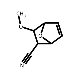 COC1C2C=CC(O2)C1C#N